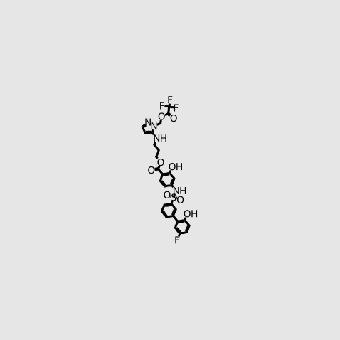 O=C(OCCCNc1ccnn1COC(=O)C(F)(F)F)c1ccc(NS(=O)(=O)c2cccc(-c3cc(F)ccc3O)c2)cc1O